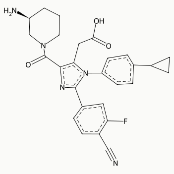 N#Cc1ccc(-c2nc(C(=O)N3CCC[C@H](N)C3)c(CC(=O)O)n2-c2ccc(C3CC3)cc2)cc1F